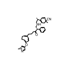 C[C@H](CNC[C@H](C(=O)CCCC1=C/CC/C=C(Oc2cnn(C)c2)/C=C\1)c1ccccc1)C1=CCC(C)(C#N)C=C1